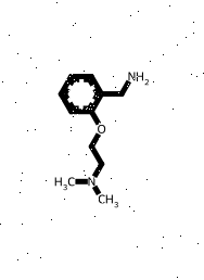 CN(C)CCOc1ccccc1CN